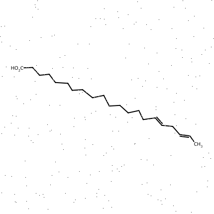 CC=CCC=CCCCCCCCCCCCCCCC(=O)O